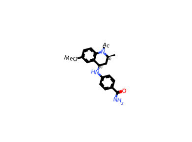 COc1ccc2c(c1)[C@H](Nc1ccc(C(N)=O)cc1)C[C@H](C)N2C(C)=O